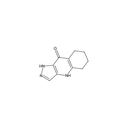 O=c1c2c([nH]c3cn[nH]c13)CCCC2